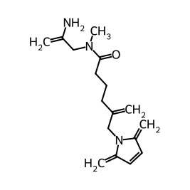 C=C(N)CN(C)C(=O)CCCC(=C)Cn1c(=C)ccc1=C